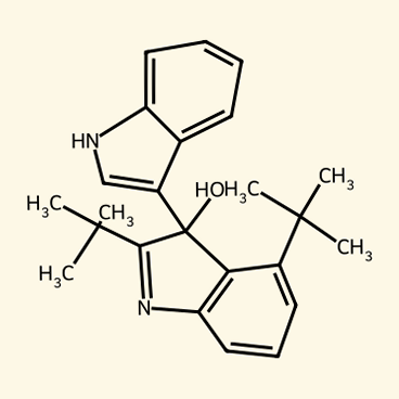 CC(C)(C)C1=Nc2cccc(C(C)(C)C)c2C1(O)c1c[nH]c2ccccc12